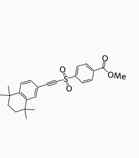 COC(=O)c1ccc(S(=O)(=O)C#Cc2ccc3c(c2)C(C)(C)CCC3(C)C)cc1